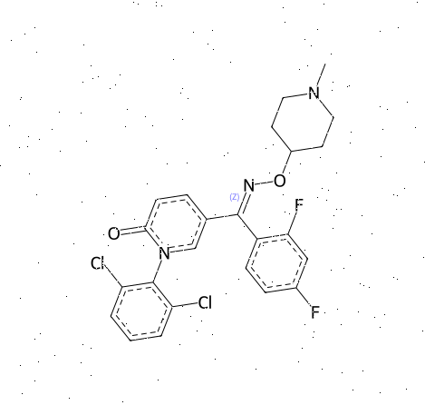 CN1CCC(O/N=C(/c2ccc(=O)n(-c3c(Cl)cccc3Cl)c2)c2ccc(F)cc2F)CC1